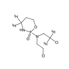 [2H]C([2H])(Cl)CN(CCCl)P1(=O)NC([2H])([2H])CCO1